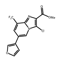 COC(=O)c1nc2c(C(F)(F)F)cc(-c3ccoc3)cn2c1Cl